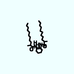 CCCCCCCCCC(C)C(=O)N[C@H]1CCCC[C@H]1NC(=O)C(C)CCCCCCCCC